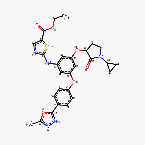 CCOC(=O)c1cnc(Nc2cc(Oc3ccc(-c4nnc(C)o4)cc3)cc(OC3CCN(C4CC4)C3=O)c2)s1